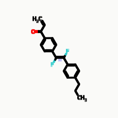 C=CC(=O)c1ccc(/C(F)=C(\F)c2ccc(CCC)cc2)cc1